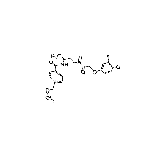 C=C(CCNC(=O)COc1ccc(Cl)c(F)c1)NC(=O)c1ccc(COC)cc1